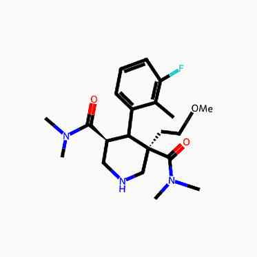 COCC[C@]1(C(=O)N(C)C)CNC[C@@H](C(=O)N(C)C)C1c1cccc(F)c1C